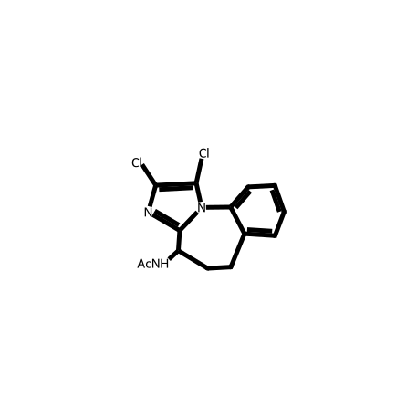 CC(=O)NC1CCc2ccccc2-n2c1nc(Cl)c2Cl